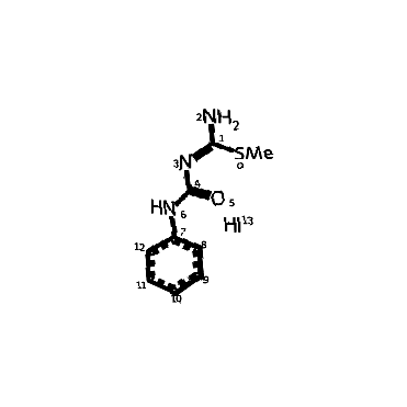 CS/C(N)=N\C(=O)Nc1ccccc1.I